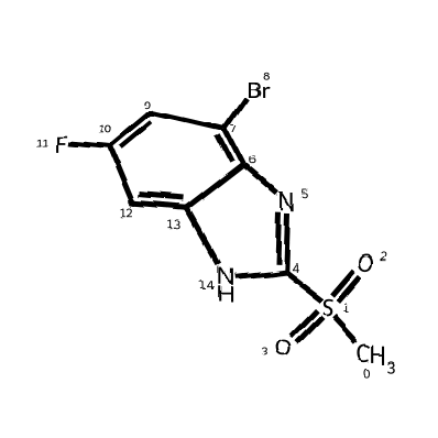 CS(=O)(=O)c1nc2c(Br)cc(F)cc2[nH]1